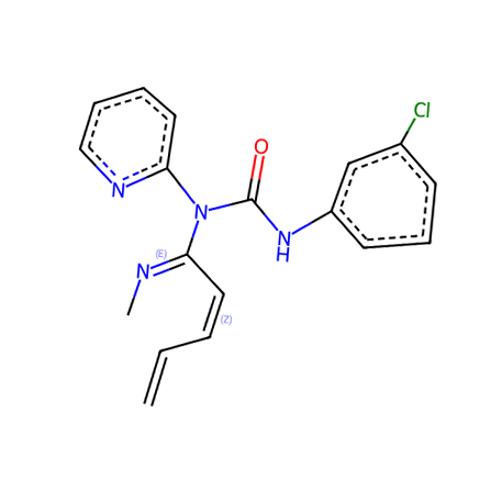 C=C/C=C\C(=N/C)N(C(=O)Nc1cccc(Cl)c1)c1ccccn1